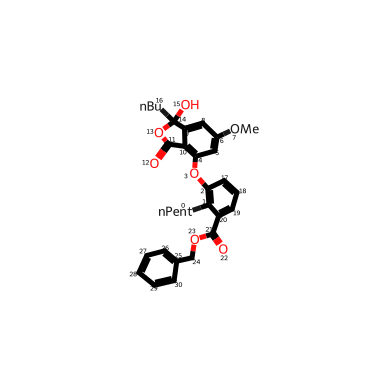 CCCCCc1c(Oc2cc(OC)cc3c2C(=O)OC3(O)CCCC)cccc1C(=O)OCc1ccccc1